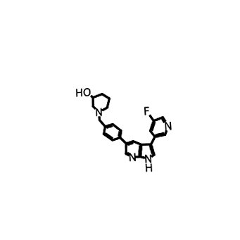 OC1CCCN(Cc2ccc(-c3cnc4[nH]cc(-c5cncc(F)c5)c4c3)cc2)C1